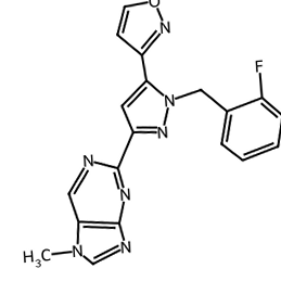 Cn1cnc2nc(-c3cc(-c4ccon4)n(Cc4ccccc4F)n3)ncc21